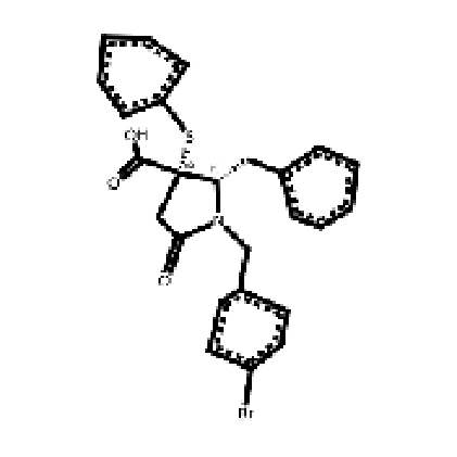 O=C1C[C@@](Sc2ccccc2)(C(=O)O)[C@H](Cc2ccccc2)N1Cc1ccc(Br)cc1